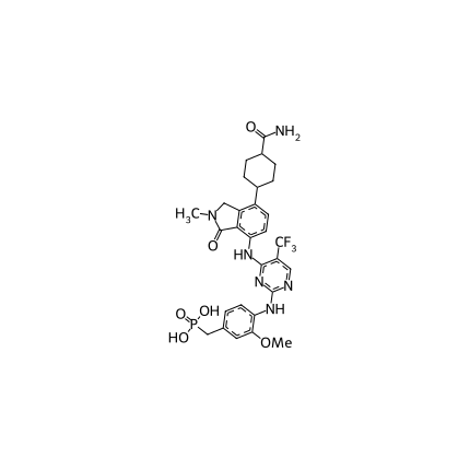 COc1cc(CP(=O)(O)O)ccc1Nc1ncc(C(F)(F)F)c(Nc2ccc(C3CCC(C(N)=O)CC3)c3c2C(=O)N(C)C3)n1